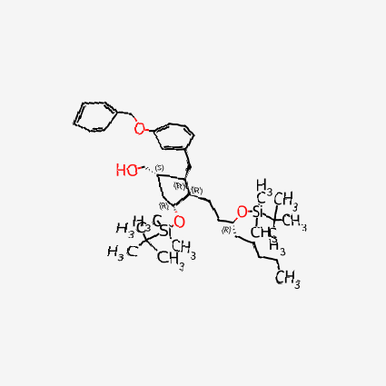 CCCCC[C@H](CC[C@@H]1[C@H](Cc2cccc(OCc3ccccc3)c2)[C@@H](CO)C[C@H]1O[Si](C)(C)C(C)(C)C)O[Si](C)(C)C(C)(C)C